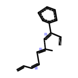 C=C\C=C/C=C(C)/C=C(\C=C)c1ccccc1